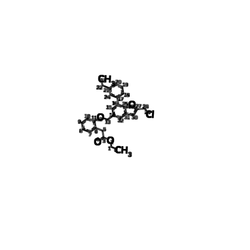 CCOC(=O)Cc1ccccc1OCc1cc(-c2cccc(CC)c2)c2oc(CCl)cc2c1